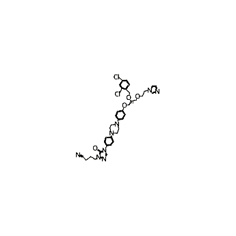 N#CCCCn1ncn(-c2ccc(N3CCN(c4ccc(OC[C@H](COCCn5ccnc5)OCc5ccc(Cl)cc5Cl)cc4)CC3)cc2)c1=O